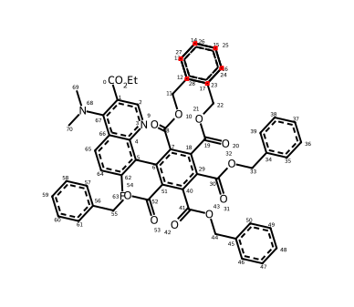 CCOC(=O)c1cnc2c(-c3c(C(=O)OCc4ccccc4)c(C(=O)OCc4ccccc4)c(C(=O)OCc4ccccc4)c(C(=O)OCc4ccccc4)c3C(=O)OCc3ccccc3)c(F)ccc2c1N(C)C